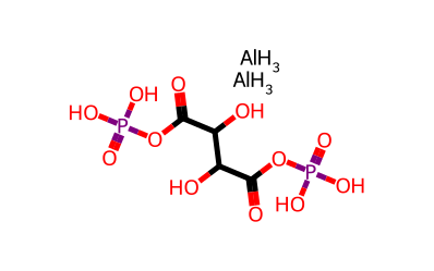 O=C(OP(=O)(O)O)C(O)C(O)C(=O)OP(=O)(O)O.[AlH3].[AlH3]